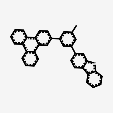 Cc1cc(-c2ccc3c(c2)oc2ccccc23)cc(-c2ccc3c4ccccc4c4ccccc4c3c2)c1